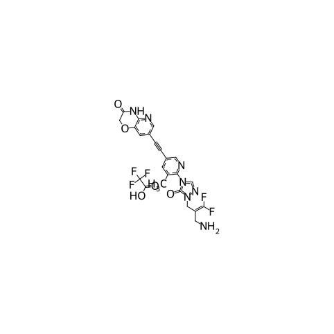 Cc1cc(C#Cc2cnc3c(c2)OCC(=O)N3)cnc1-n1cnn(CC(CN)=C(F)F)c1=O.O=C(O)C(F)(F)F